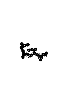 c1ccc(-c2ccc3c(c2)c2ccccc2n3-c2cccc(-c3ccc(-c4nc(-c5ccccc5)nc(-c5ccc6c(c5)oc5ccc(-c7cc(-c8ccc(-c9nc(-c%10ccccc%10)nc(-c%10ccc%11c(c%10)oc%10ccccc%10%11)n9)cc8)cc(-n8c9ccccc9c9ccc(-c%10ccccc%10)cc98)c7)cc56)n4)cc3)c2)cc1